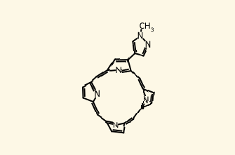 Cn1cc(C2=CC3=CC4=NC(=CC5=NC(=CC6=NC(=CC2=N3)C=C6)C=C5)C=C4)cn1